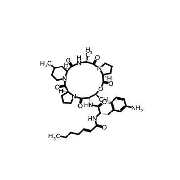 CCCC/C=C/C(=O)N[C@@H](Cc1cccc(N)c1)C(=O)N[C@@H]1C(=O)N2CCC[C@H]2C(=O)N2CCC(C)C[C@H]2C(=O)N[C@@H](C)C(=O)N2CCC[C@H]2C(=O)O[C@H]1C